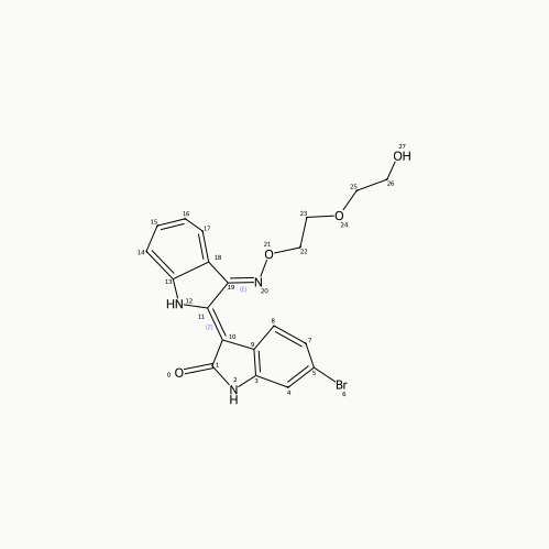 O=C1Nc2cc(Br)ccc2/C1=C1/Nc2ccccc2/C1=N\OCCOCCO